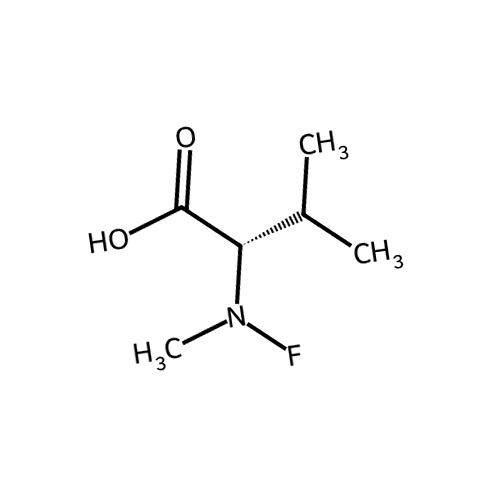 CC(C)[C@@H](C(=O)O)N(C)F